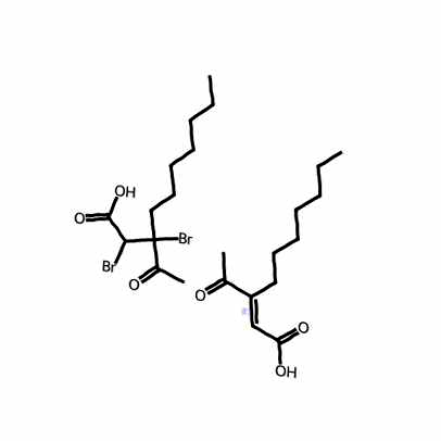 CCCCCCC/C(=C\C(=O)O)C(C)=O.CCCCCCCC(Br)(C(C)=O)C(Br)C(=O)O